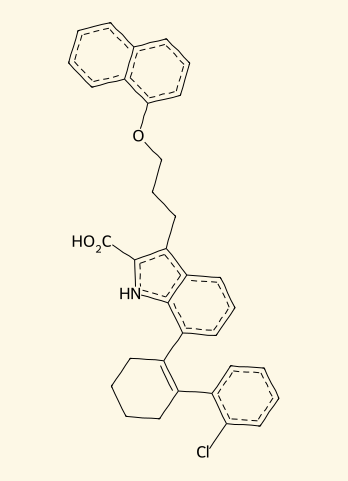 O=C(O)c1[nH]c2c(C3=C(c4ccccc4Cl)CCCC3)cccc2c1CCCOc1cccc2ccccc12